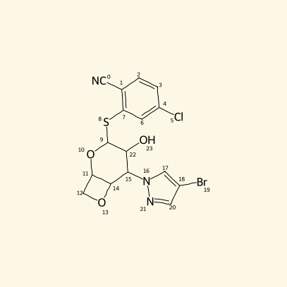 N#Cc1ccc(Cl)cc1SC1OC2COC2C(n2cc(Br)cn2)C1O